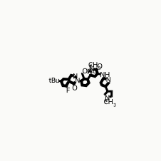 CC(=O)OCc1c(-c2cc(Nc3ccc(C4CCN(C)C4)cn3)c(=O)n(C)n2)cccc1-n1ncc2cc(C(C)(C)C)cc(F)c2c1=O